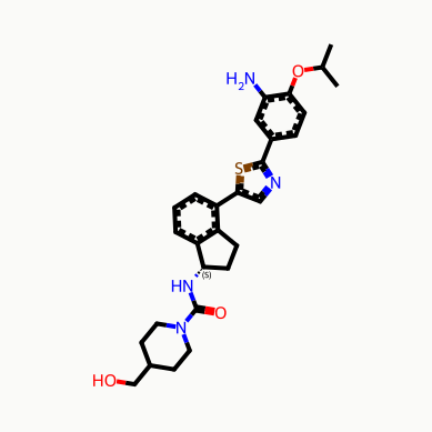 CC(C)Oc1ccc(-c2ncc(-c3cccc4c3CC[C@@H]4NC(=O)N3CCC(CO)CC3)s2)cc1N